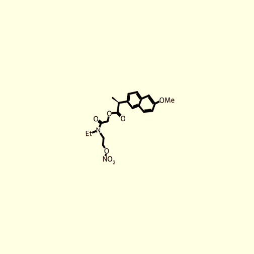 CCN(CCO[N+](=O)[O-])C(=O)COC(=O)[C@@H](C)c1ccc2cc(OC)ccc2c1